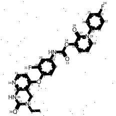 CCN1Cc2c(Oc3ccc(NC(=O)Oc4cccn(-c5ccc(F)cc5)c4=O)cc3F)ccnc2NC1=O